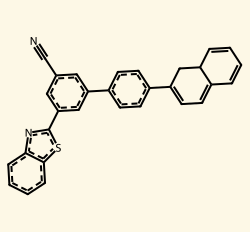 N#Cc1cc(-c2ccc(C3=CC=C4C=CC=CC4C3)cc2)cc(-c2nc3ccccc3s2)c1